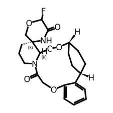 O=C1N[C@]2(CCCN3C(=O)COc4ccccc4[C@H]4CC[C@H](CC4)OC[C@H]32)COC1F